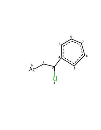 CC(=O)CC(Cl)c1ccccc1